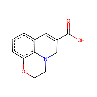 O=C(O)C1=Cc2cccc3c2N(CCO3)C1